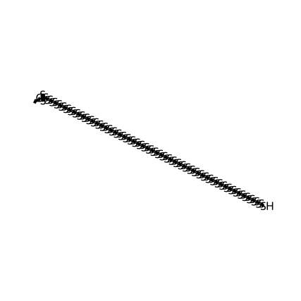 CCCOS(=S)(=S)SSSSSSSSSSSSSSSSSSSSSSSSSSSSSSSSSSSSSSSSSSSSSSSSSSSSSSSSSSSSSSSSSSSSSSSSSSSSSSSSSSSSSSSSSSSSSSSS